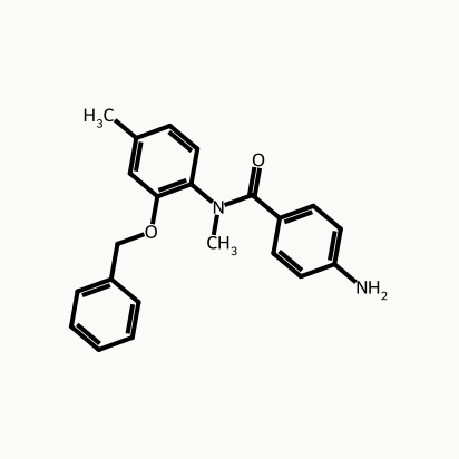 Cc1ccc(N(C)C(=O)c2ccc(N)cc2)c(OCc2ccccc2)c1